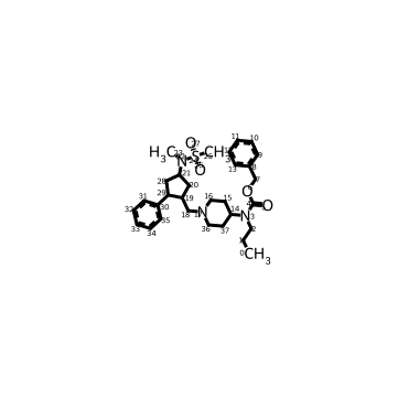 CCCN(C(=O)OCc1ccccc1)C1CCN(CC2CC(N(C)S(C)(=O)=O)CC2c2ccccc2)CC1